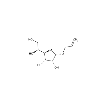 C=CCO[C@H]1O[C@H]([C@@H](O)CO)[C@@H](O)[C@H]1O